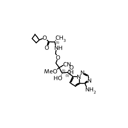 COC(C#N)(COCN[C@@H](C)C(=O)OC1CCC1)[C@@H](O)[C@@H](O)c1ccc2c(N)ncnn12